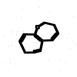 C1=CC2=C(C=CC1)OCCC=C2